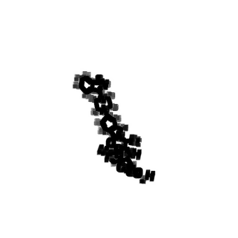 CCC(C(=O)NC(CC(=O)O)C(CF)(OC)OC)N1Cc2cc(N3CCN(c4nsc5ccccc45)CC3)ccc2C1=O